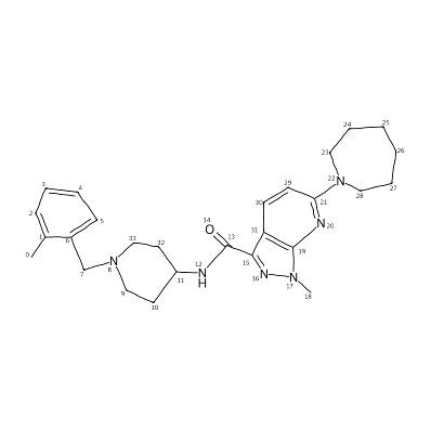 Cc1ccccc1CN1CCC(NC(=O)c2nn(C)c3nc(N4CCCCCC4)ccc23)CC1